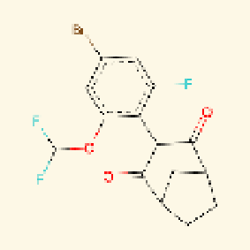 O=C1C2CCC(C2)C(=O)C1c1c(F)cc(Br)cc1OC(F)F